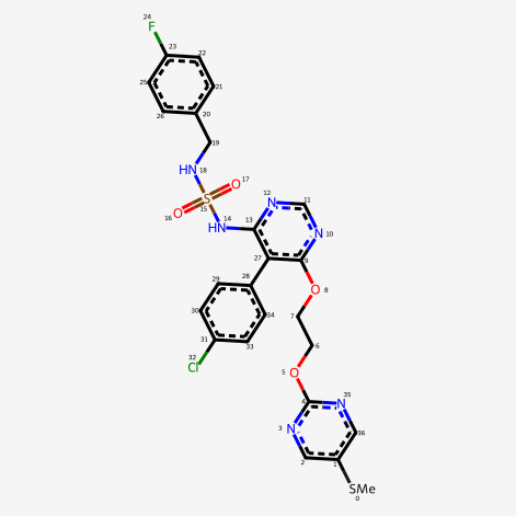 CSc1cnc(OCCOc2ncnc(NS(=O)(=O)NCc3ccc(F)cc3)c2-c2ccc(Cl)cc2)nc1